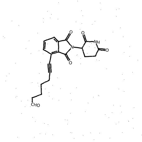 O=CCCCCC#Cc1cccc2c1C(=O)N(C1CCC(=O)NC1=O)C2=O